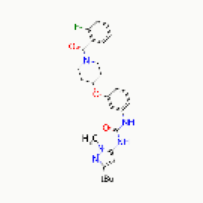 Cn1nc(C(C)(C)C)cc1NC(=O)Nc1cccc(OC2CCN(C(=O)c3ccccc3F)CC2)c1